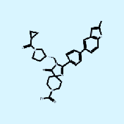 Cc1cc2cc(-c3ccc(C4=NC5(CCN(C(=O)C(C)C)CC5)C(=O)N4C[C@@H]4CCN(C(=O)C5CC5)C4)cc3)ccc2o1